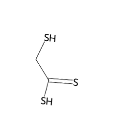 S=C(S)CS